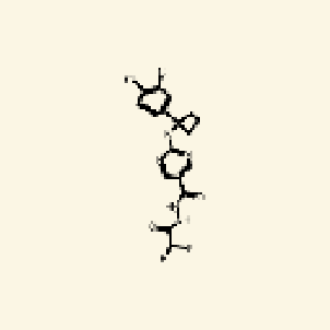 O=C(NNC(=O)C(F)F)c1cnc(NC2(c3ccc(Cl)c(Cl)c3)CCC2)nc1